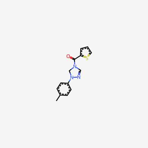 Cc1ccc(N2CN(C(=O)c3cccs3)C=N2)cc1